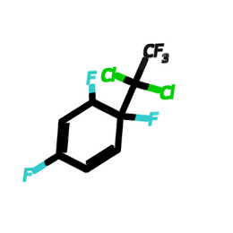 FC1=CC(F)C(F)(C(Cl)(Cl)C(F)(F)F)C=C1